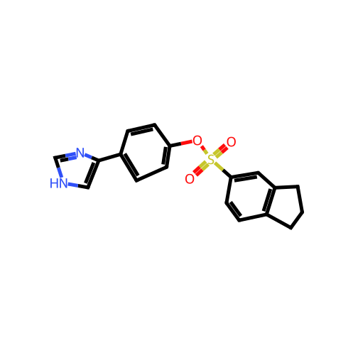 O=S(=O)(Oc1ccc(-c2c[nH]cn2)cc1)c1ccc2c(c1)CCC2